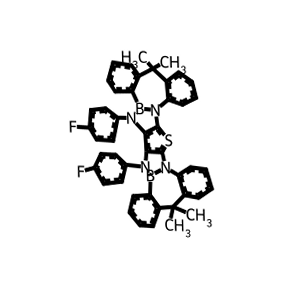 CC1(C)c2ccccc2B2N(c3ccccc31)c1sc3c(c1N2c1ccc(F)cc1)N(c1ccc(F)cc1)B1c2ccccc2C(C)(C)c2ccccc2N13